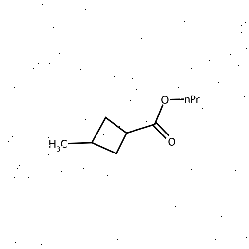 CCCOC(=O)C1CC(C)C1